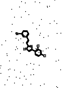 Clc1ccc(-c2c[nH]c(C=Cc3cccc(Br)c3)n2)c(Cl)c1